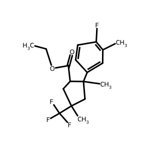 CCOC(=O)C1CC(C)(C(F)(F)F)CC1(C)c1ccc(F)c(C)c1